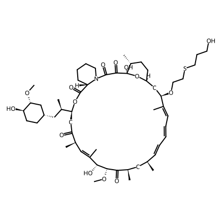 CO[C@@H]1C[C@H](C[C@@H](C)[C@@H]2CC(=O)[C@H](C)/C=C(\C)[C@@H](O)[C@@H](OC)C(=O)[C@H](C)C[C@H](C)/C=C/C=C/C=C(\C)[C@H](OCCSCCCO)C[C@@H]3CC[C@@H](C)[C@@](O)(O3)C(=O)C(=O)N3CCCC[C@H]3C(=O)O2)CC[C@H]1O